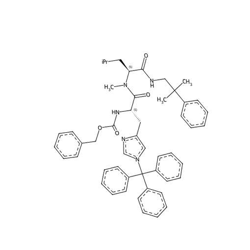 CC(C)C[C@@H](C(=O)NCC(C)(C)c1ccccc1)N(C)C(=O)[C@H](Cc1cn(C(c2ccccc2)(c2ccccc2)c2ccccc2)cn1)NC(=O)OCc1ccccc1